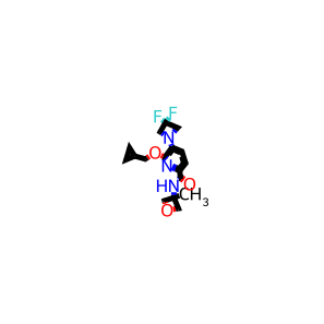 CC1(NC(=O)c2ccc(N3CC(F)(F)C3)c(OCC3CC3)n2)COC1